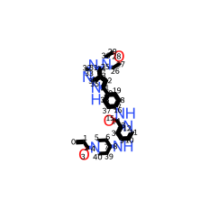 C=CC(=O)N1CCC(Nc2ccnc(C(=O)Nc3ccc(-c4cc5c(N6CCOCC6)ncnc5[nH]4)cc3)c2)CC1